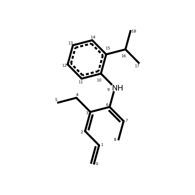 C=C/C=C(CC)\C(=C/C)Nc1ccccc1C(C)C